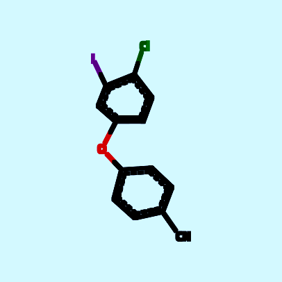 N#Cc1ccc(Oc2ccc(Cl)c(I)c2)cc1